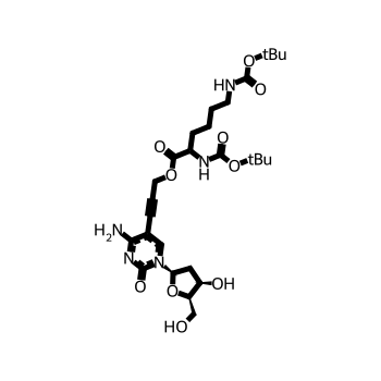 CC(C)(C)OC(=O)NCCCCC(NC(=O)OC(C)(C)C)C(=O)OCC#Cc1cn([C@H]2C[C@@H](O)[C@@H](CO)O2)c(=O)nc1N